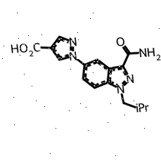 CC(C)Cn1nc(C(N)=O)c2cc(-n3cc(C(=O)O)cn3)ccc21